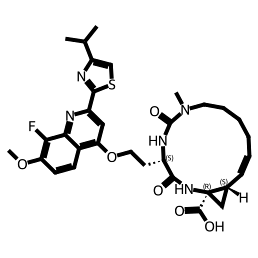 COc1ccc2c(OCC[C@@H]3NC(=O)N(C)CCCCC=C[C@@H]4C[C@@]4(C(=O)O)NC3=O)cc(-c3nc(C(C)C)cs3)nc2c1F